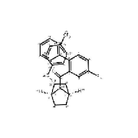 O=C(c1cc(F)ccc1-c1ncccn1)N1[C@@H]2CC[C@H]1[C@H](Oc1cnc(C(F)(F)F)cn1)C2